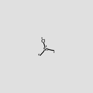 [CH3][Sn]([CH3])[Cl]